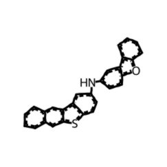 c1ccc2cc3c(cc2c1)sc1ccc(Nc2ccc4oc5ccccc5c4c2)cc13